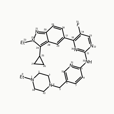 CCN1CCN(Cc2ccc(Nc3ncc(F)c(-c4ccc5nn(CC)c(C6CC6)c5c4)n3)nc2)CC1